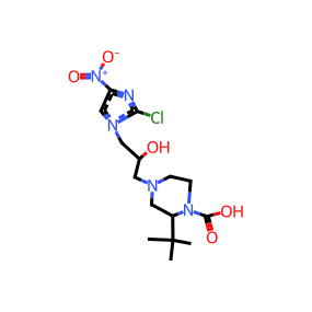 CC(C)(C)C1CN(CC(O)Cn2cc([N+](=O)[O-])nc2Cl)CCN1C(=O)O